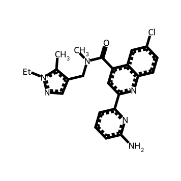 CCn1ncc(CN(C)C(=O)c2cc(-c3cccc(N)n3)nc3ccc(Cl)cc23)c1C